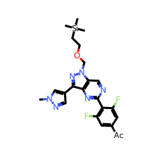 CC(=O)c1cc(F)c(-c2ncc3c(n2)c(-c2cnn(C)c2)nn3COCC[Si](C)(C)C)c(F)c1